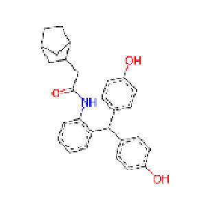 O=C(CC1CC2CCC1C2)Nc1ccccc1C(c1ccc(O)cc1)c1ccc(O)cc1